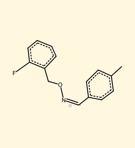 Cc1ccc(/[C]=N\OCc2ccccc2F)cc1